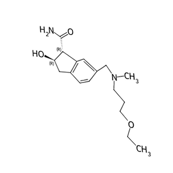 CCOCCCN(C)Cc1ccc2c(c1)[C@@H](C(N)=O)[C@H](O)C2